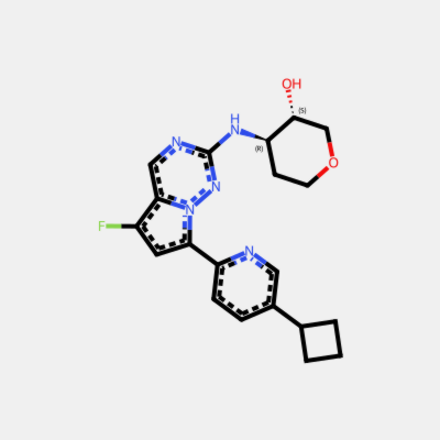 O[C@@H]1COCC[C@H]1Nc1ncc2c(F)cc(-c3ccc(C4CCC4)cn3)n2n1